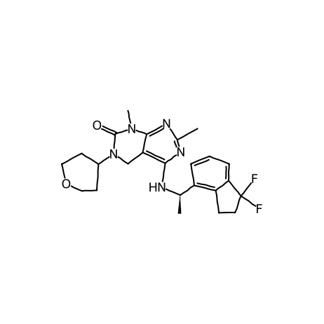 Cc1nc(N[C@H](C)c2cccc3c2CCC3(F)F)c2c(n1)N(C)C(=O)N(C1CCOCC1)C2